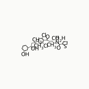 C[C@H](C(=O)c1c(Cl)cc(C(C)(C)CC(O)c2cccc(O)c2)cc1Cl)[C@@H](CNC(=O)c1cccs1)C(=O)O